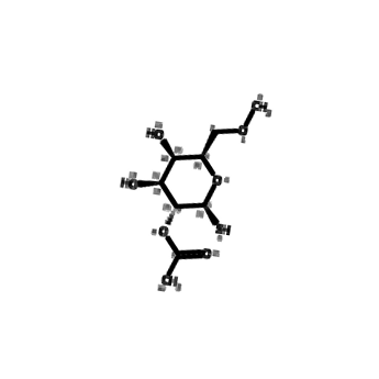 COC[C@H]1O[C@@H](S)[C@H](OC(C)=O)[C@@H](O)[C@H]1O